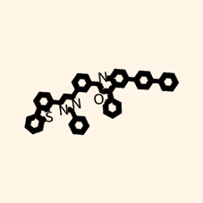 c1ccc(-c2ccc(-c3ccc4nc(-c5cccc(-c6cc(-c7cccc8c7sc7ccccc78)nc(-c7ccccc7)n6)c5)c5oc6ccccc6c5c4c3)cc2)cc1